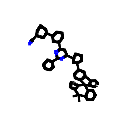 CC1(C)c2ccccc2C2(c3ccccc3-c3cc(-c4cccc(-c5cc(-c6cccc(-c7cccc(C#N)c7)c6)nc(-c6ccccc6)n5)c4)ccc32)c2ccccc21